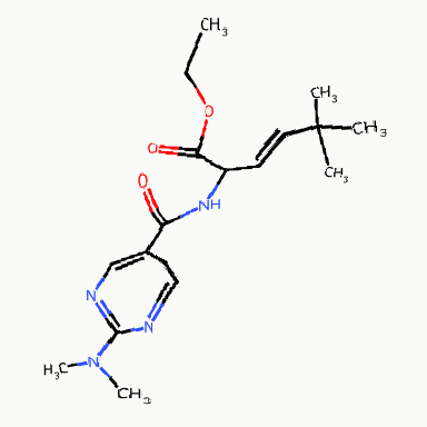 CCOC(=O)C(C=CC(C)(C)C)NC(=O)c1cnc(N(C)C)nc1